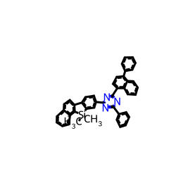 C[Si]1(C)c2cc(-c3nc(-c4ccccc4)nc(-c4ccc(-c5ccccc5)c5ccccc45)n3)ccc2-c2ccc3ccccc3c21